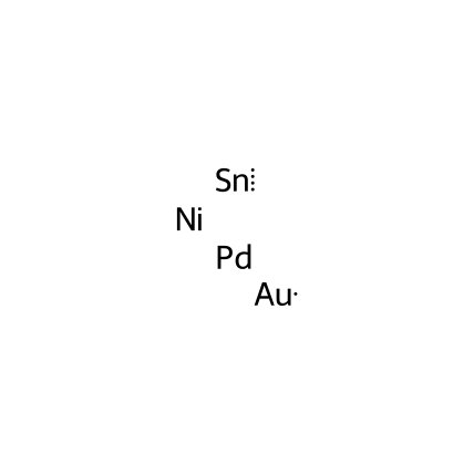 [Au].[Ni].[Pd].[Sn]